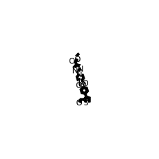 CCOC(=O)c1cnc(N2CCN(S(=O)(=O)c3ccc(-c4ccsc4C=O)cc3)CC2)nc1